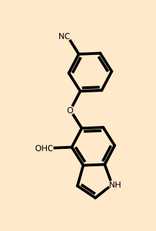 N#Cc1cccc(Oc2ccc3[nH]ccc3c2C=O)c1